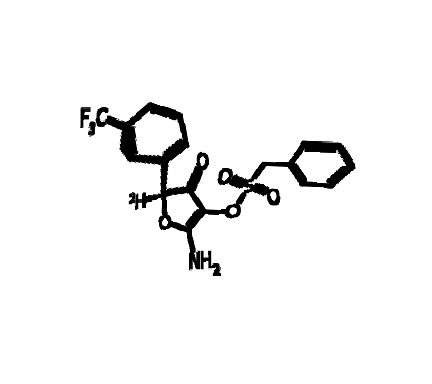 [2H][C@]1(c2cccc(C(F)(F)F)c2)OC(N)=C(OS(=O)(=O)Cc2ccccc2)C1=O